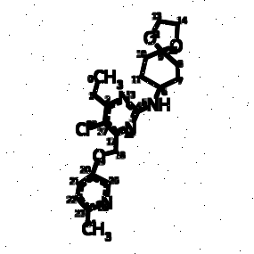 CCc1nc(NC2CCC3(CC2)OCCO3)nc(COc2ccc(C)nc2)c1Cl